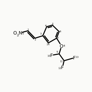 O=[N+]([O-])C=Cc1cccc(OC(F)C(F)F)c1